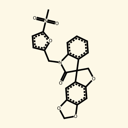 CS(=O)(=O)c1ccc(CN2C(=O)C3(COc4cc5c(cc43)OCO5)c3ccccc32)o1